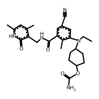 CCN(c1cc(C#N)cc(C(=O)NCc2c(C)cc(C)[nH]c2=O)c1C)C1CCC(OC(N)=O)CC1